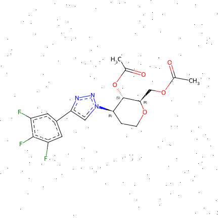 CC(=O)OC[C@H]1OCC[C@@H](n2cc(-c3cc(F)c(F)c(F)c3)nn2)[C@@H]1OC(C)=O